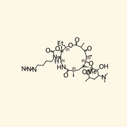 CC[C@H]1OC(=O)C(C)C(=O)[C@@H](C)[C@@H](O[C@@H]2OC(C)CC(N(C)C)C2O)[C@](C)(OC)C[C@@H](C)C(=O)N[C@H](C)[C@H]2N(CCCCN=[N+]=[N-])C(=O)O[C@]12C